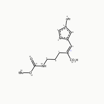 CCCn1cnc(/C=C(\CCCNC(=O)OC(C)(C)C)C(=O)O)c1